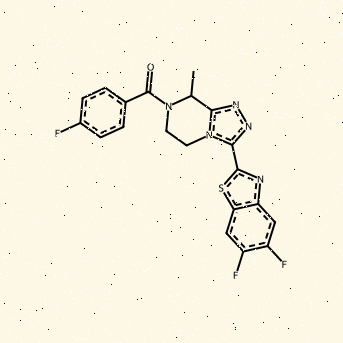 CC1c2nnc(-c3nc4cc(F)c(F)cc4s3)n2CCN1C(=O)c1ccc(F)cc1